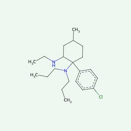 CCCN(CCC)C1(c2ccc(Cl)cc2)CCC(C)CC1NCC